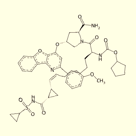 COc1cccc(-c2cc(O[C@@H]3C[C@@H](C(N)=O)N(C(=O)[C@H](CCCCC/C=C\[C@@H]4C[C@@H]4C(=O)NS(=O)(=O)C4CC4)NC(=O)OC4CCCC4)C3)c3oc4ccccc4c3n2)c1